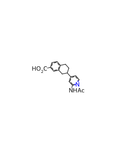 CC(=O)Nc1cc(C2CCc3ccc(C(=O)O)cc3C2)ccn1